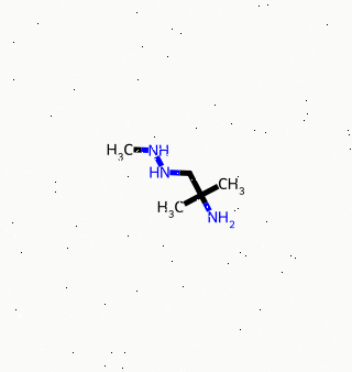 CNNCC(C)(C)N